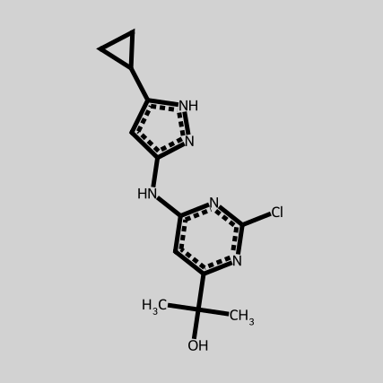 CC(C)(O)c1cc(Nc2cc(C3CC3)[nH]n2)nc(Cl)n1